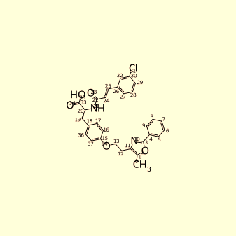 Cc1oc(-c2ccccc2)nc1CCOc1ccc(C[C@H](NC(=O)C=Cc2cccc(Cl)c2)C(=O)O)cc1